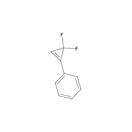 FC1(F)C=C1c1ccccc1